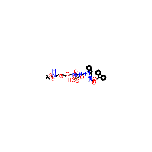 CN(Cc1cc2ccccc2n1CCC(=O)N[C@@H](CS(=O)(=O)O)C(=O)NCCOCCOCCNC(=O)OC(C)(C)C)N(C)C(=O)OCC1c2ccccc2-c2ccccc21